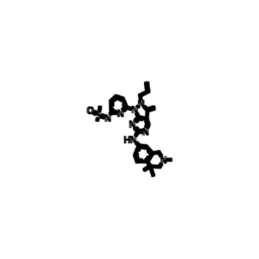 C=CCN1C(=C)c2cnc(Nc3ccc4c(c3)CN(C)CC4(C)C)nc2N1c1cccc(N=S(C)(C)=O)n1